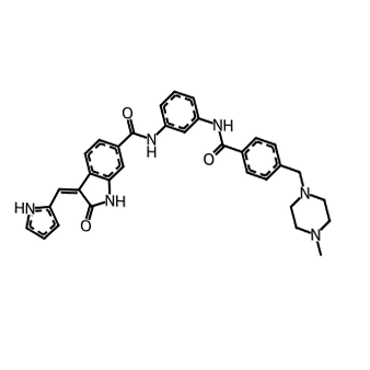 CN1CCN(Cc2ccc(C(=O)Nc3cccc(NC(=O)c4ccc5c(c4)NC(=O)C5=Cc4ccc[nH]4)c3)cc2)CC1